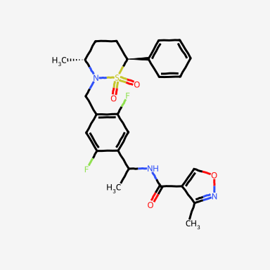 Cc1nocc1C(=O)NC(C)c1cc(F)c(CN2[C@H](C)CC[C@@H](c3ccccc3)S2(=O)=O)cc1F